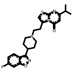 CC(C)c1cc(=O)n2c(CCN3CCC(c4noc5cc(F)ccc45)CC3)csc2n1